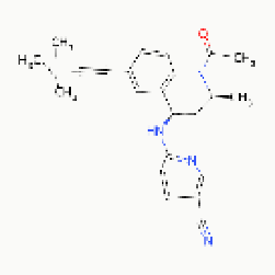 CC(=O)N1c2ccc(C#C[Si](C)(C)C)cc2[C@H](Nc2ccc(C#N)cn2)C[C@@H]1C